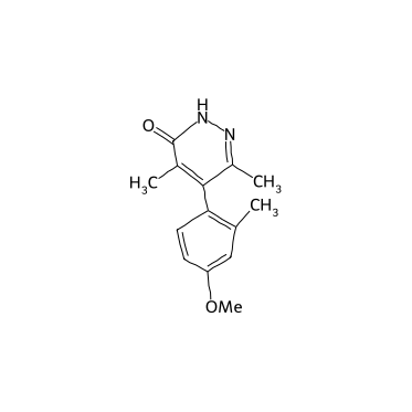 COc1ccc(-c2c(C)n[nH]c(=O)c2C)c(C)c1